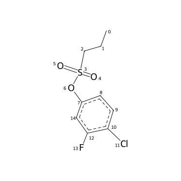 CCCS(=O)(=O)Oc1ccc(Cl)c(F)c1